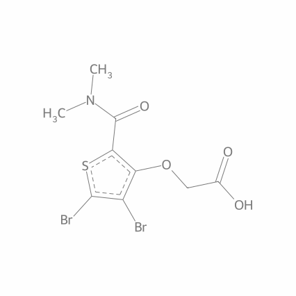 CN(C)C(=O)c1sc(Br)c(Br)c1OCC(=O)O